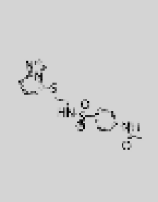 CC(=O)Nc1ccc(S(=O)(=O)NCCSc2cccc3nccn23)cc1